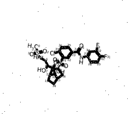 CS(=O)(=O)NCC(O)C(O)[C@]1(O)C2CCC1C[C@H](S(=O)(=O)c1cc(C(=O)Nc3ccc(F)c(F)c3)ccc1Cl)C2